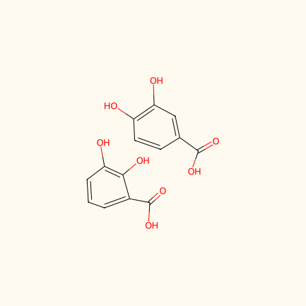 O=C(O)c1ccc(O)c(O)c1.O=C(O)c1cccc(O)c1O